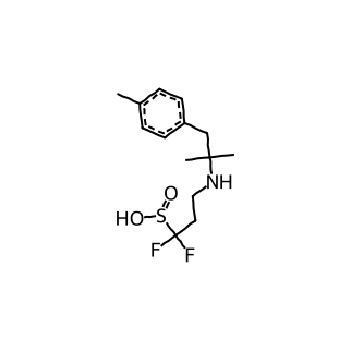 Cc1ccc(CC(C)(C)NCCC(F)(F)S(=O)O)cc1